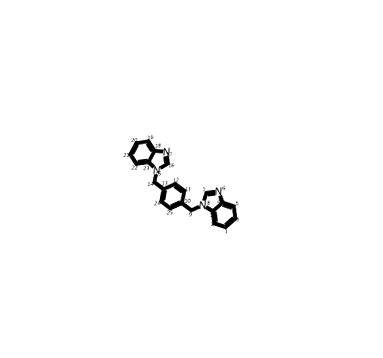 c1ccc2c(c1)ncn2Cc1ccc(Cn2cnc3ccccc32)cc1